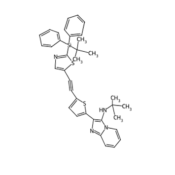 CC(C)(C)Nc1c(-c2ccc(C#Cc3cnc([Si](c4ccccc4)(c4ccccc4)C(C)(C)C)s3)s2)nc2ccccn12